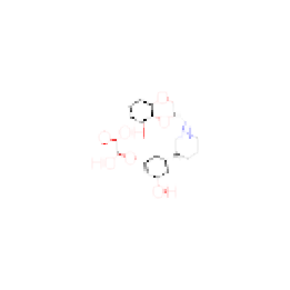 O=C(O)C(=O)O.Oc1cccc([C@H]2CCCN(C[C@H]3COc4ccccc4O3)C2)c1